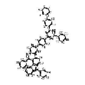 c1ccc(-c2ccc(-c3cc(-c4ccc(-c5ccc6nc(-c7ccccc7)c7c(ccc8c7c7ccccc7n8-c7ccccc7)c6c5)cc4)nc(-c4ccccc4)n3)cc2)cc1